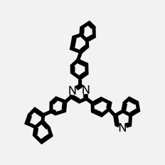 c1ccc2cc(-c3ccc(-c4nc(-c5ccc(-c6cccc7ccccc67)cc5)cc(-c5ccc(-c6cncc7ccccc67)cc5)n4)cc3)ccc2c1